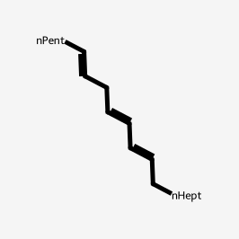 CCCCCC=CCC=CC=CCCCCCCCC